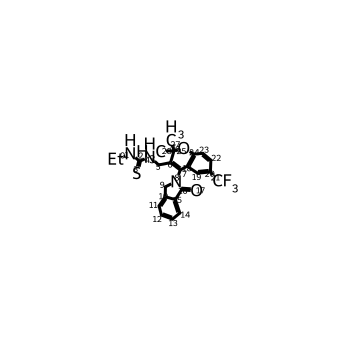 CCNC(=S)NCC1=C(N2Cc3ccccc3C2=O)c2cc(C(F)(F)F)ccc2OC1(C)C